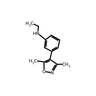 CCNc1cccc(-c2c(C)noc2C)c1